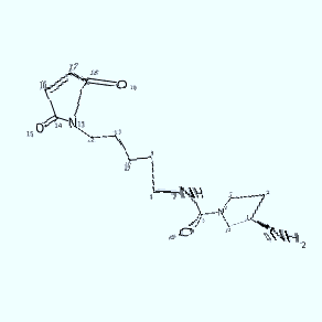 N[C@@H]1CCN(C(=O)NCCCCCN2C(=O)C=CC2=O)C1